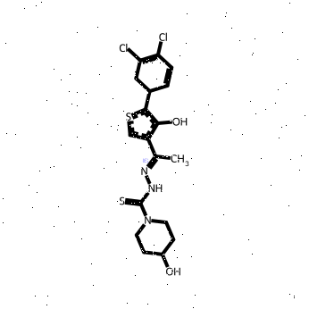 C/C(=N\NC(=S)N1CCC(O)CC1)c1csc(C2C=CC(Cl)=C(Cl)C2)c1O